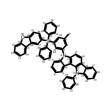 Cc1cc(-n2c3ccccc3c3c2ccc2c4ccccc4n(-c4ccccc4)c23)cc([Si](c2ccccc2)(c2ccccc2)c2ccc3oc4ccccc4c3c2)c1